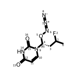 CC(F)C[C@@H](ON=[N+]=[N-])n1ccc(=O)[nH]c1=O